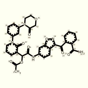 CC(=O)OC(C(=O)Nc1ccc2c(C(=O)c3ccccc3C(N)=O)noc2c1)c1cccn(-c2cccc(N3CCOCC3=O)c2)c1=O